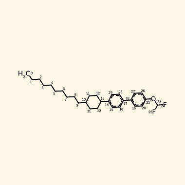 CCCCCCCCCCC1CCC(c2ccc(-c3ccc(OC(F)F)cc3)cc2)CC1